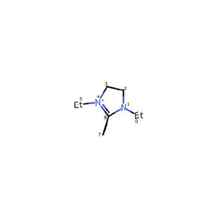 CCN1CC[N+](CC)=C1C